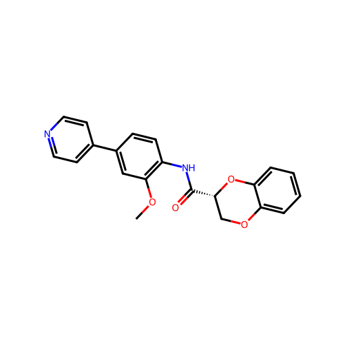 COc1cc(-c2ccncc2)ccc1NC(=O)[C@H]1COc2ccccc2O1